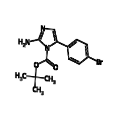 CC(C)(C)OC(=O)n1c(-c2ccc(Br)cc2)cnc1N